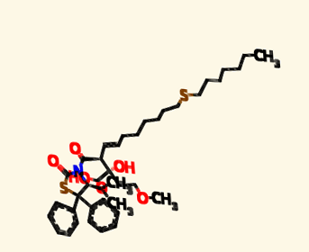 CCCCCCCSCCCCCC/C=C/[C@H](C(=O)N1C(=O)SC(c2ccccc2)(c2ccccc2)[C@@H]1C(C)C)[C@@](O)(CCOC)C(=O)O